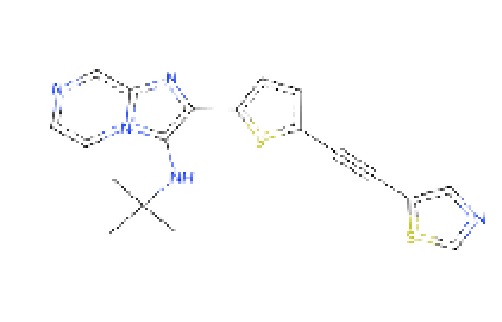 CC(C)(C)Nc1c(-c2ccc(C#Cc3cncs3)s2)nc2cnccn12